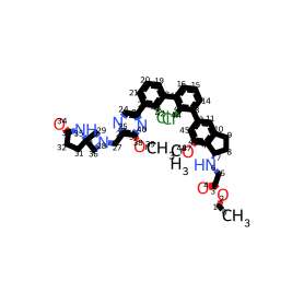 CCOC(=O)CN[C@@H]1CCc2cc(-c3cccc(-c4cccc(-c5cnc(CN6CC7(CCC(=O)N7)C6)c(OC)n5)c4Cl)c3Cl)cc(OC)c21